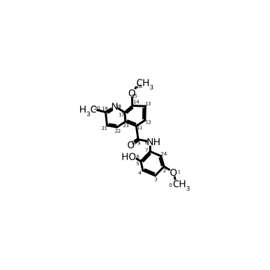 COc1ccc(O)c(NC(=O)c2ccc(OC)c3nc(C)ccc23)c1